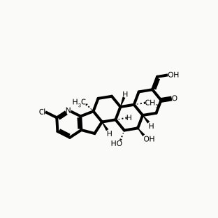 C[C@]12CC(=CO)C(=O)C[C@@H]1[C@@H](O)[C@H](O)[C@@H]1[C@@H]2CC[C@]2(C)c3nc(Cl)ccc3C[C@@H]12